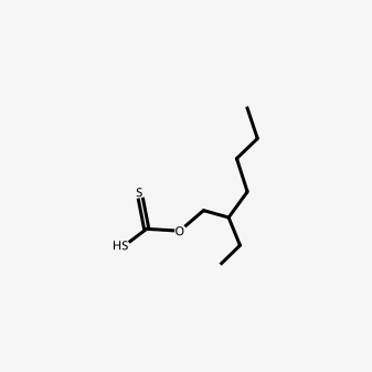 CCCCC(CC)COC(=S)S